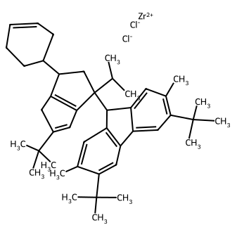 Cc1cc2c(cc1C(C)(C)C)-c1cc(C(C)(C)C)c(C)cc1C2C1(C(C)C)CC(C2CC=CCC2)C2=C1C=C(C(C)(C)C)C2.[Cl-].[Cl-].[Zr+2]